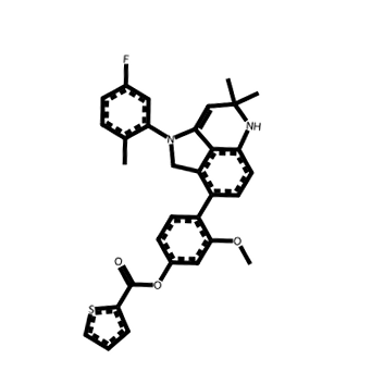 COc1cc(OC(=O)c2cccs2)ccc1-c1ccc2c3c1CN(c1cc(F)ccc1C)C3=CC(C)(C)N2